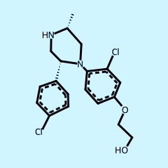 C[C@@H]1CN(c2ccc(OCCO)cc2Cl)[C@H](c2ccc(Cl)cc2)CN1